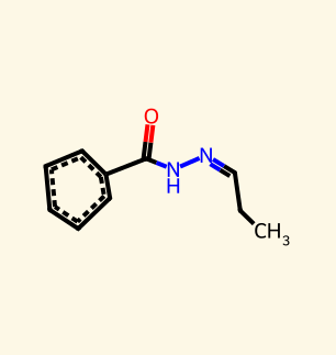 CC/C=N\NC(=O)c1ccccc1